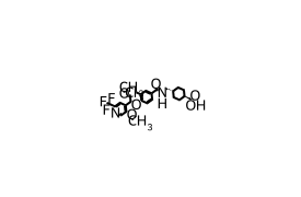 COCC(Oc1ccc(C(=O)NC[C@H]2CC[C@H](C(=O)O)CC2)cc1Cl)c1cc(C(F)(F)F)ncc1OC